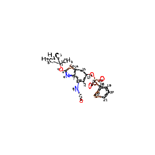 CC(C)(C)Oc1nc2c(N=C=O)cc(OS(=O)(=O)c3cccs3)cc2s1